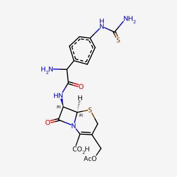 CC(=O)OCC1=C(C(=O)O)N2C(=O)[C@@H](NC(=O)C(N)c3ccc(NC(N)=S)cc3)[C@H]2SC1